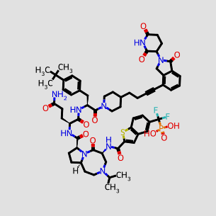 CC(C)N1CC[C@H]2CC[C@@H](C(=O)N[C@@H](CCC(N)=O)C(=O)N[C@@H](Cc3ccc(C(C)(C)C)cc3)C(=O)N3CCC(CCC#Cc4cccc5c4CN(C4CCC(=O)NC4=O)C5=O)CC3)N2C(=O)[C@@H](NC(=O)c2cc3cc(C(F)(F)P(=O)(O)O)ccc3s2)C1